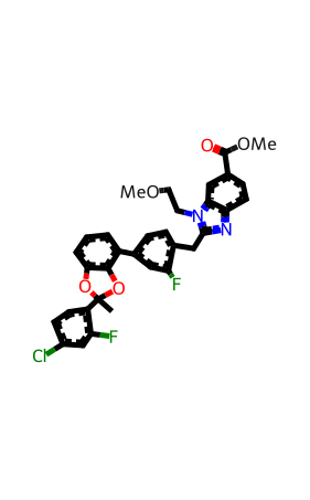 COCCn1c(Cc2ccc(-c3cccc4c3OC(C)(c3ccc(Cl)cc3F)O4)cc2F)nc2ccc(C(=O)OC)cc21